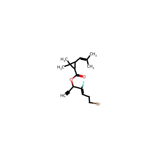 C#CC(OC(=O)C1C(C=C(C)C)C1(C)C)C(F)=CCCBr